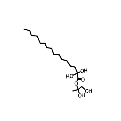 CCCCCCCCCCCCCCC(O)(O)C(=O)OC(C)(O)CO